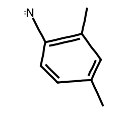 Cc1ccc([N])c(C)c1